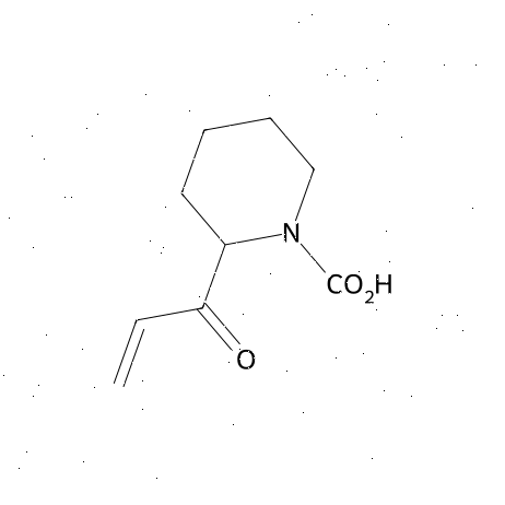 C=CC(=O)C1CCCCN1C(=O)O